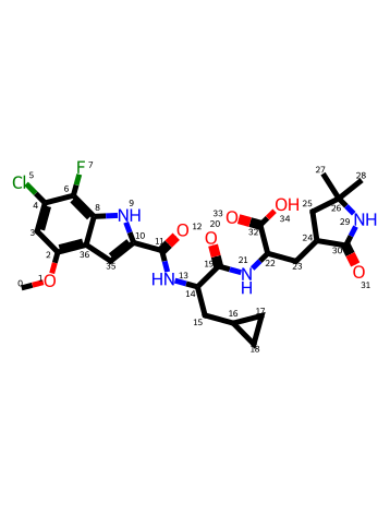 COc1cc(Cl)c(F)c2[nH]c(C(=O)NC(CC3CC3)C(=O)NC(CC3CC(C)(C)NC3=O)C(=O)O)cc12